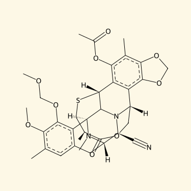 COCOc1c(OC)c(C)cc2c1[C@H]1C3[C@@H]4SC[C@H](C)C(=O)OC[C@@H](c5c6c(c(C)c(OC(C)=O)c54)OCO6)N3[C@@H](C#N)[C@H](C2)N1C